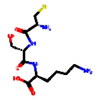 NCCCC[C@H](NC(=O)[C@H](CO)NC(=O)[C@@H](N)CS)C(=O)O